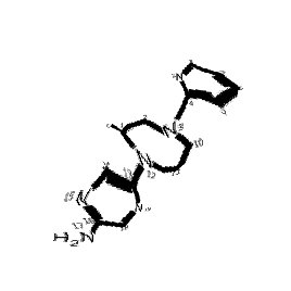 C[C@H]1CN(c2ccccn2)CCN1c1cnc(N)cn1